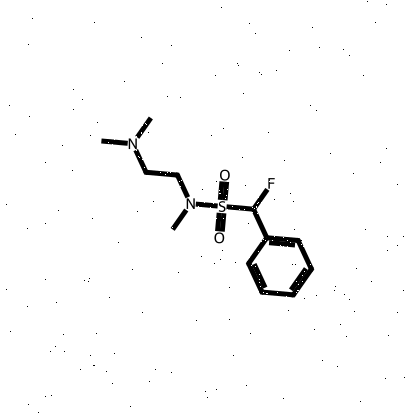 CN(C)CCN(C)S(=O)(=O)C(F)c1ccccc1